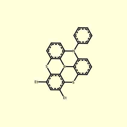 CCc1cc(CC)c2c3c1Sc1cccc4c1B3c1c(cccc1N4c1ccccc1)S2